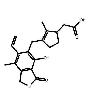 C=Cc1c(C)c2c(c(O)c1CC1=C(C)C(CC(=O)O)CC1)C(=O)OC2